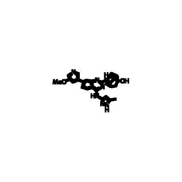 COc1cncc(-c2ccc3c(Nc4cc(C)[nH]n4)nc(NC4C5CC6CC4C(O)(C6)C5)nc3c2)c1